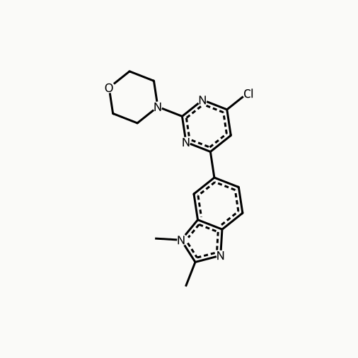 Cc1nc2ccc(-c3cc(Cl)nc(N4CCOCC4)n3)cc2n1C